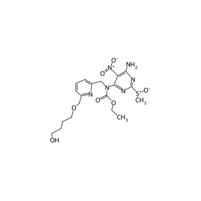 CCOC(=O)N(Cc1cccc(COCCCCO)n1)c1nc([S+](C)[O-])nc(N)c1[N+](=O)[O-]